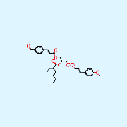 CCCCC(CC)C(=O)OC(COOC/C=C/c1ccc(OC)cc1)COC(=O)/C=C/c1ccc(C=O)cc1